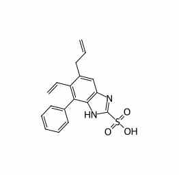 C=CCc1cc2nc(S(=O)(=O)O)[nH]c2c(-c2ccccc2)c1C=C